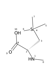 CN[C@@H](C[Si](C)(C)C)C(=O)O